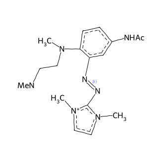 CNCCN(C)c1ccc(NC(C)=O)cc1/N=N/c1n(C)cc[n+]1C